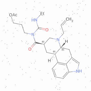 C=CCN1C[C@H](C(=O)N(CCCOC(C)=O)C(=O)NCC)C[C@@H]2c3cccc4[nH]cc(c34)C[C@H]21